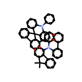 CC1(C)c2ccccc2-c2c(N(c3ccccc3-c3ccccc3)c3ccccc3-c3cccc4c3C3(c5ccccc5-4)c4ccccc4N(c4ccccc4)c4ccccc43)cccc21